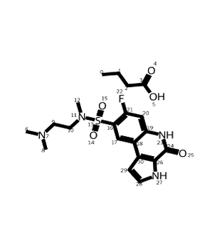 CCCC(=O)O.CN(C)CCN(C)S(=O)(=O)c1cc2c(cc1F)[nH]c(=O)c1[nH]ccc12